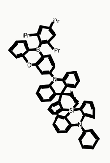 CC(C)c1cc(C(C)C)c(B2c3ccccc3Oc3cc(N4c5ccccc5C5(c6ccccc64)c4ccccc4[Si]4(c6ccccc6N(c6ccccc6)c6ccccc64)c4ccccc45)ccc32)c(C(C)C)c1